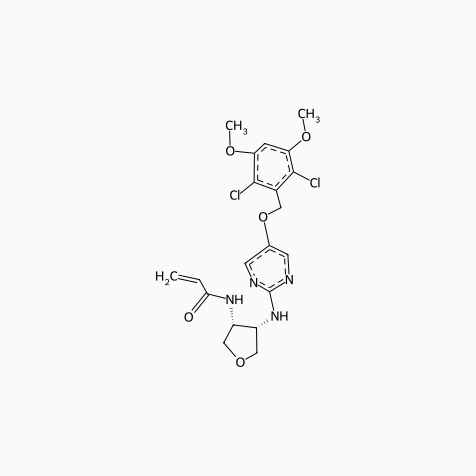 C=CC(=O)N[C@H]1COC[C@H]1Nc1ncc(OCc2c(Cl)c(OC)cc(OC)c2Cl)cn1